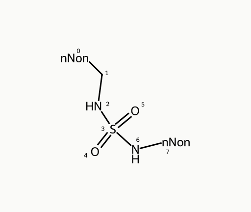 CCCCCCCCCCNS(=O)(=O)NCCCCCCCCC